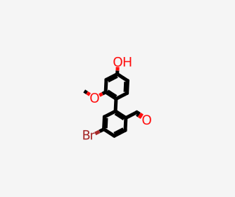 COc1cc(O)ccc1-c1cc(Br)ccc1C=O